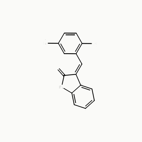 O=C1Nc2ccccc2/C1=C/c1cc(Br)ccc1O